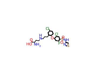 N[C@@H](CCNCCCc1cc(Cl)ccc1Oc1cc(F)c(S(=O)(=O)Nc2cscn2)cc1Cl)C(=O)O